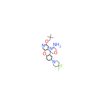 CC(C)(C)COc1cc2c(cn1)Oc1ccc(N3CCC(F)(F)CC3)cc1C21COCC(N)=N1